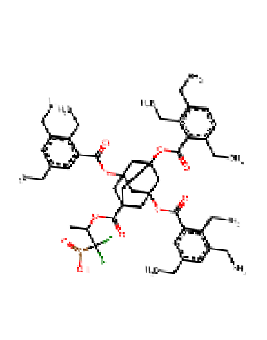 BCc1cc(CB)c(CB)c(C(=O)OC23CC4(OC(=O)c5cc(CB)cc(CB)c5CB)CC(OC(=O)c5c(CB)ccc(CB)c5CB)(C2)CC(C(=O)OC(C)C(F)(F)S(=O)O)(C3)C4)c1